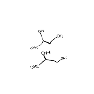 O=CC(O)CO.O=CC(O)CO